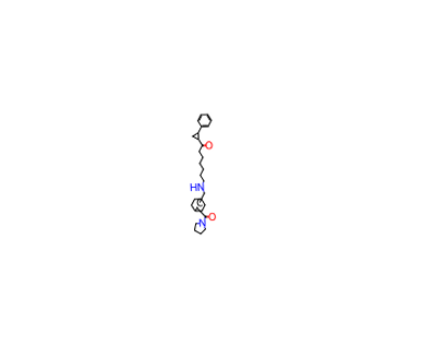 O=C(CCCCCCNCC12CCC(CC1)C(C(=O)N1CCCC1)C2)C1CC1c1ccccc1